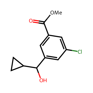 COC(=O)c1cc(Cl)cc(C(O)C2CC2)c1